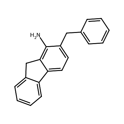 Nc1c(Cc2ccccc2)ccc2c1Cc1ccccc1-2